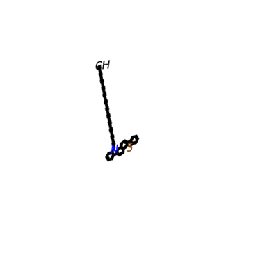 C#CC#CC#CC#CC#CC#CC#CC#CC#CC#CC#CC#Cn1c2ccccc2c2ccc3c(ccc4c5ccccc5sc43)c21